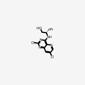 CCC[C@@H](CO)Nc1nc(Cl)nc2cc(Cl)cnc12